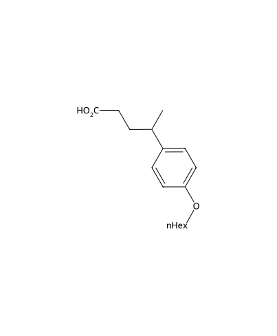 CCCCCCOc1ccc(C(C)CCC(=O)O)cc1